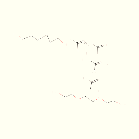 C=C(C)C(=O)O.C=C(C)C(=O)O.C=C(C)C(=O)O.C=C(C)C(=O)O.OCCCCCCO.OCCOCCOCCO